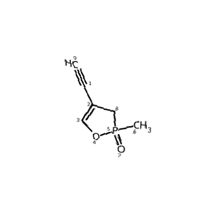 C#CC1=COP(C)(=O)C1